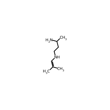 CC(C)=CNCCC(C)N